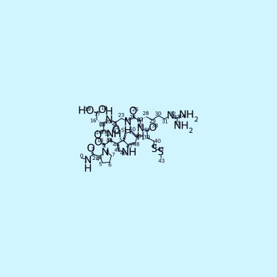 CNC(=O)[C@@H]1CCCN1C(=O)[C@H](NC(=O)[C@H](CC(=O)O)NC(=O)CNC(=O)[C@H](CCCCN=C(N)N)NC(=O)CCSSC)c1c[nH]c2ccccc12